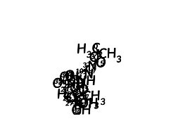 CC(C)OC(=O)n1cnc(C[C@H](NC(=O)OC(C)(C)C)C(=O)N[C@@H](Cc2ccc(B(O)O)cc2)C(=O)O)c1